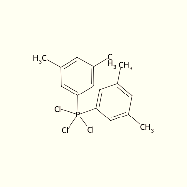 Cc1cc(C)cc(P(Cl)(Cl)(Cl)c2cc(C)cc(C)c2)c1